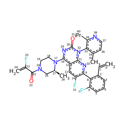 C=Cc1cccc(F)c1-c1nc2c(cc1F)c(N1CCN(C(=O)C(=C)F)C[C@@H]1C)nc(=O)n2-c1c(C)ccnc1C(C)C